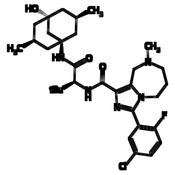 C[C@@H]1C[C@]2(O)C[C@H](C)C[C@@](NC(=O)[C@@H](NC(=O)c3nc(-c4cc(Cl)ccc4F)n4c3CN(C)CCC4)C(C)(C)C)(C1)C2